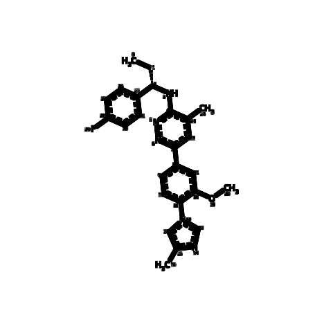 CC[C@H](Nc1nnc(-c2ccc(-n3cnc(C)c3)c(OC)c2)cc1C)c1ccc(F)cc1